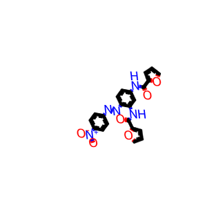 O=C(Nc1ccc(/N=N/c2ccc([N+](=O)[O-])cc2)c(NC(=O)c2ccco2)c1)c1ccco1